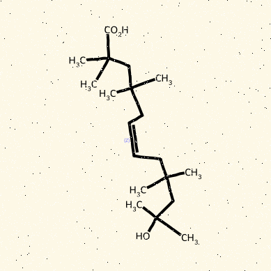 CC(C)(O)CC(C)(C)C/C=C\CC(C)(C)CC(C)(C)C(=O)O